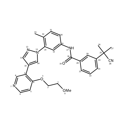 COCCOc1ccncc1-c1cnn(-c2cc(NC(=O)c3cccc(C(C)(C)C#N)c3)ccc2C)c1